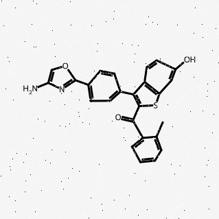 Cc1ccccc1C(=O)c1sc2cc(O)ccc2c1-c1ccc(-c2nc(N)co2)cc1